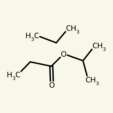 CCC.CCC(=O)OC(C)C